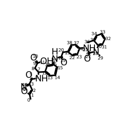 Cc1cc(C(=O)NC(CC(=O)O)c2cccc(NC(=O)Cc3ccc(NC(=O)N(C)c4ccccc4C)cc3)c2)no1